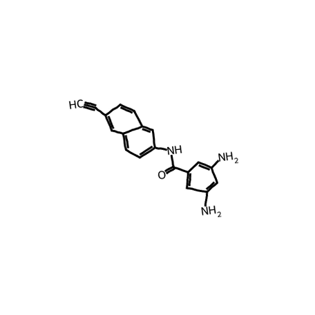 C#Cc1ccc2cc(NC(=O)c3cc(N)cc(N)c3)ccc2c1